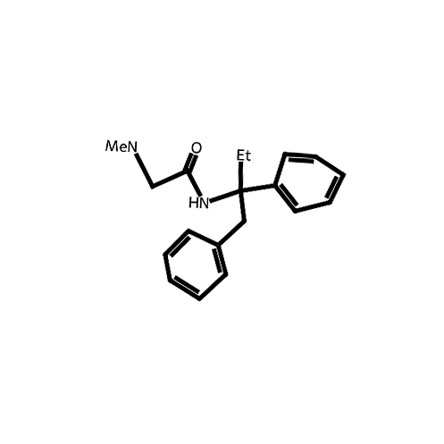 CCC(Cc1ccccc1)(NC(=O)CNC)c1ccccc1